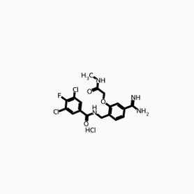 CNC(=O)COc1cc(C(=N)N)ccc1CNC(=O)c1cc(Cl)c(F)c(Cl)c1.Cl